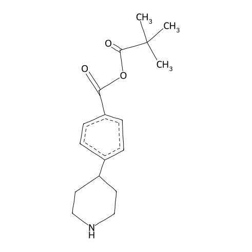 CC(C)(C)C(=O)OC(=O)c1ccc(C2CCNCC2)cc1